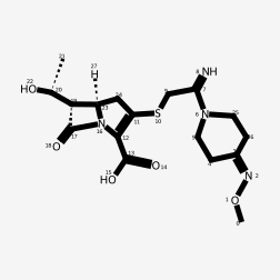 CON=C1CCN(C(=N)CSC2=C(C(=O)O)N3C(=O)[C@H]([C@@H](C)O)[C@H]3C2)CC1